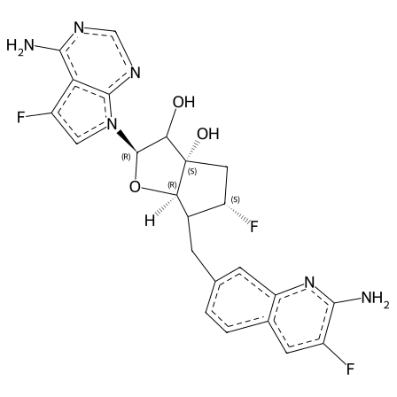 Nc1nc2cc(CC3[C@H]4O[C@@H](n5cc(F)c6c(N)ncnc65)C(O)[C@@]4(O)C[C@@H]3F)ccc2cc1F